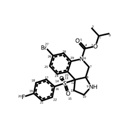 CC(C)OC(=O)N1CC2NCCC2(S(=O)(=O)c2ccc(F)cc2)c2ccc(Br)cc21